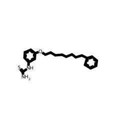 NC(=S)Nc1cccc(OCCCCCCCCc2ccccc2)c1